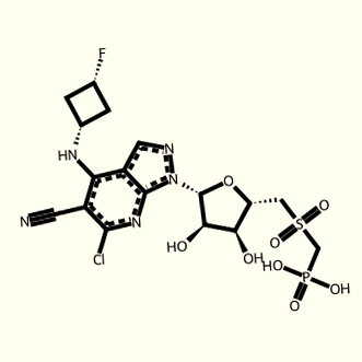 N#Cc1c(Cl)nc2c(cnn2[C@@H]2O[C@H](CS(=O)(=O)CP(=O)(O)O)[C@@H](O)[C@H]2O)c1N[C@H]1C[C@@H](F)C1